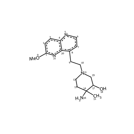 COc1ccc2nccc(CCN3CCC(C)(N)C(O)C3)c2n1